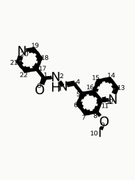 O=C(N/N=C/c1ccc(OI)c2ncccc12)c1ccncc1